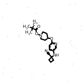 CC(C)(C)C(=O)ON1CCC(Oc2ccc(NC3(C#N)CCC3)cn2)CC1